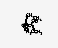 CC(=O)OCC=C(C)CCC=C(C)C.CCCCCCOC(=O)c1ccccc1